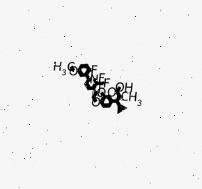 COc1ccc(F)c(-c2ccc([C@@H]3COc4ccc(C(C5CC5)[C@H](C)C(=O)O)cc4O3)c(C(F)(F)F)n2)c1